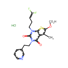 Cc1c(OC(=O)O)sc2c1c(=O)n(CCc1cccnc1)c(=O)n2CCC=C(F)F.Cl